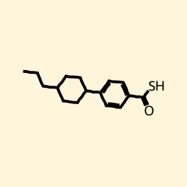 CCCC1CCC(c2ccc(C(=O)S)cc2)CC1